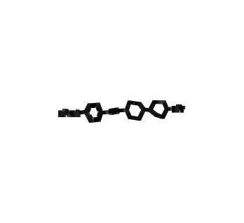 CCCCCc1ccc(C#CC2CCC(C3CCC(CCC)CC3)CC2)cc1